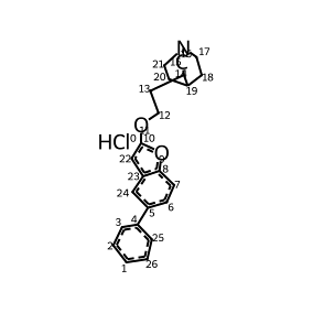 Cl.c1ccc(-c2ccc3oc(OCCC4CN5CCC4CC5)cc3c2)cc1